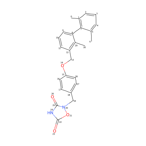 Cc1cccc(C)c1-c1cccc(COc2ccc(Cn3oc(=O)[nH]c3=O)cc2)c1C